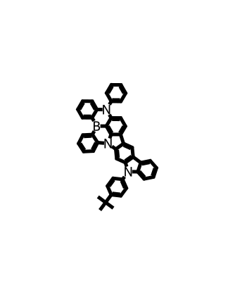 CC(C)(C)c1ccc(-n2c3ccccc3c3cc4c5ccc6c7c5n(c4cc32)-c2ccccc2B7c2ccccc2N6c2ccccc2)cc1